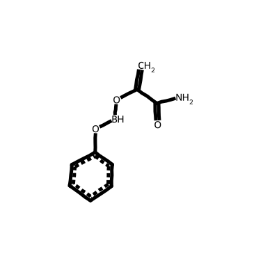 C=C(OBOc1ccccc1)C(N)=O